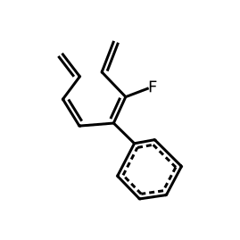 C=C/C=C\C(=C(\F)C=C)c1ccccc1